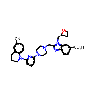 N#Cc1ccc2c(c1)CCCN2c1cccc(N2CCN(Cc3nc4ccc(C(=O)O)cc4n3C[C@@H]3CCO3)CC2)n1